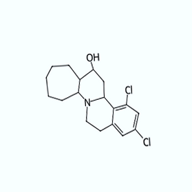 OC1CC2c3c(Cl)cc(Cl)cc3CCN2C2CCCCCC12